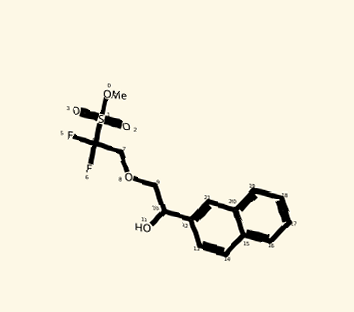 COS(=O)(=O)C(F)(F)COCC(O)c1ccc2ccccc2c1